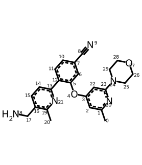 Cc1cc(Oc2cc(C#N)ccc2-c2ccc(CN)c(C)n2)cc(N2CCOCC2)n1